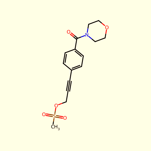 CS(=O)(=O)OCC#Cc1ccc(C(=O)N2CCOCC2)cc1